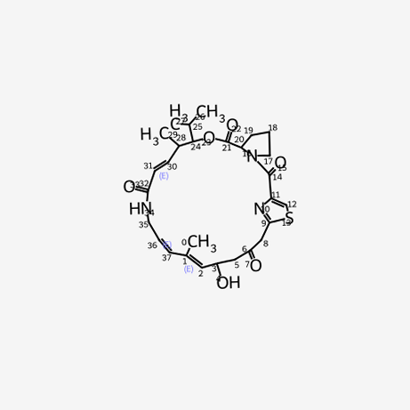 CC1=C\C(O)CC(=O)Cc2nc(cs2)C(=O)N2CCCC2C(=O)OC(C(C)C)C(C)/C=C/C(=O)NC\C=C\1